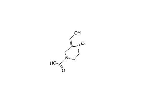 O=C1CCN(C(=O)O)CC1=CO